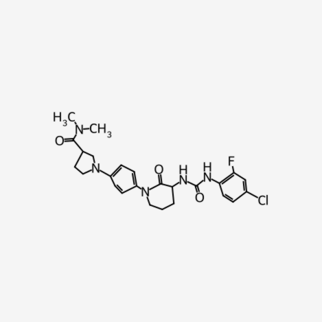 CN(C)C(=O)C1CCN(c2ccc(N3CCCC(NC(=O)Nc4ccc(Cl)cc4F)C3=O)cc2)C1